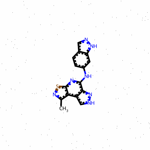 Cc1nsc2nc(Nc3ccc4cn[nH]c4c3)c3n[nH]cc3c12